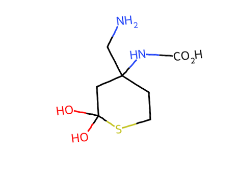 NCC1(NC(=O)O)CCSC(O)(O)C1